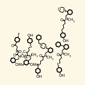 CN(Cc1ccccc1-c1ccccc1)C(=O)CCCSc1ccc(O)cc1.CN(Cc1ccccc1N1CCN(Cc2ccccc2)CC1)C(=O)CCCSc1ccc(O)cc1.CN(Cc1ccccc1N1CCOCC1)C(=O)CCCCc1ccc(O)cc1.COc1ccccc1CN(C)C(=O)C(CCSc1ccc(O)cc1)C(=O)O.COc1ccccc1CN(C)C(=O)CCCC(=O)c1ccc(F)cc1